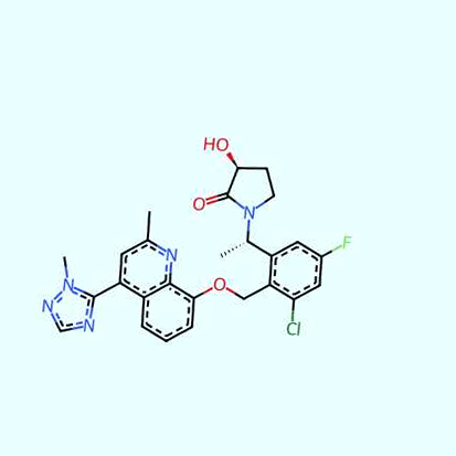 Cc1cc(-c2ncnn2C)c2cccc(OCc3c(Cl)cc(F)cc3[C@H](C)N3CC[C@H](O)C3=O)c2n1